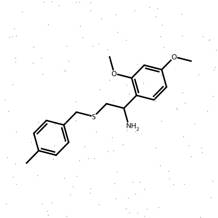 COc1ccc(C(N)CSCc2ccc(C)cc2)c(OC)c1